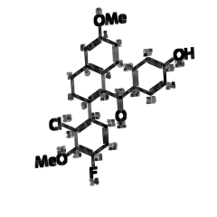 COc1ccc2c(c1)CCC(c1ccc(F)c(OC)c1Cl)=C2C(=O)c1ccc(O)cc1